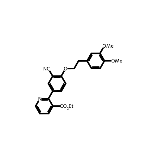 CCOC(=O)c1cccnc1-c1ccc(OCCc2ccc(OC)c(OC)c2)c(C#N)c1